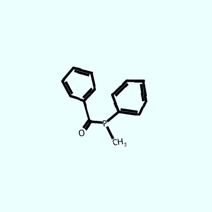 CP(C(=O)c1ccccc1)c1ccccc1